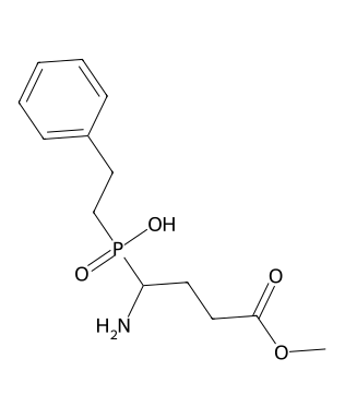 COC(=O)CCC(N)P(=O)(O)CCc1ccccc1